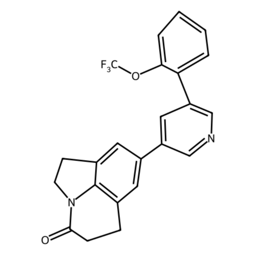 O=C1CCc2cc(-c3cncc(-c4ccccc4OC(F)(F)F)c3)cc3c2N1CC3